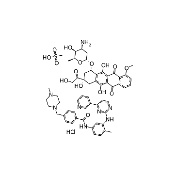 COc1cccc2c1C(=O)c1c(O)c3c(c(O)c1C2=O)C[C@@](O)(C(=O)CO)C[C@@H]3O[C@H]1C[C@H](N)[C@H](O)[C@H](C)O1.CS(=O)(=O)O.Cc1ccc(NC(=O)c2ccc(CN3CCN(C)CC3)cc2)cc1Nc1nccc(-c2cccnc2)n1.Cl